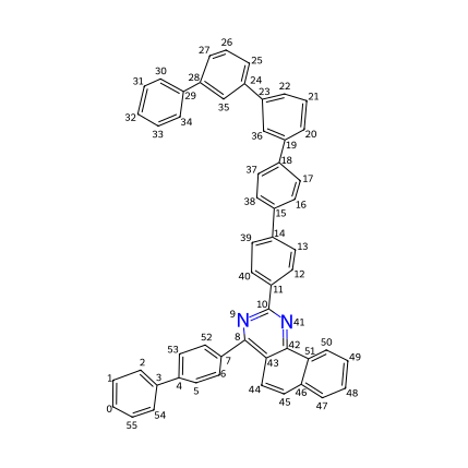 c1ccc(-c2ccc(-c3nc(-c4ccc(-c5ccc(-c6cccc(-c7cccc(-c8ccccc8)c7)c6)cc5)cc4)nc4c3ccc3ccccc34)cc2)cc1